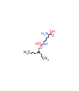 CCCC[C@@H]1[C@H](CCC)[C@@H]1COC(O)NCCCC[C@H](N)C(=O)O